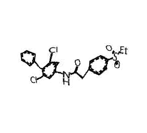 CCS(=O)(=O)c1ccc(CC(=O)Nc2cc(Cl)c(-c3ccccc3)c(Cl)c2)cc1